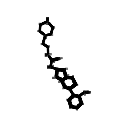 COc1ccccc1-c1ccc2nc(NC(=O)NCCN3CCNCC3)sc2c1